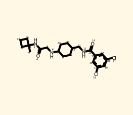 CC1(NC(=O)CNC2CCC(CNC(=O)c3cc(Cl)cc(Cl)c3)CC2)CCC1